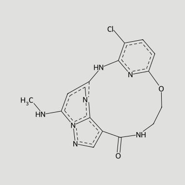 CNc1cc2nc3c(cnn13)C(=O)NCCOc1ccc(Cl)c(n1)N2